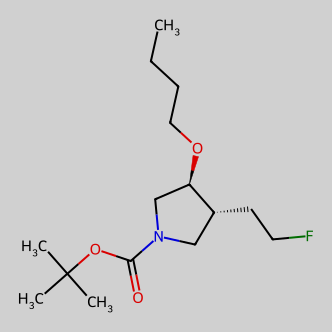 CCCCO[C@@H]1CN(C(=O)OC(C)(C)C)C[C@H]1CCF